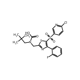 CC(C)(C)CN(Cc1nc(-c2ccccc2F)c(S(=O)(=O)c2ccc(Cl)nc2)s1)C(=O)O